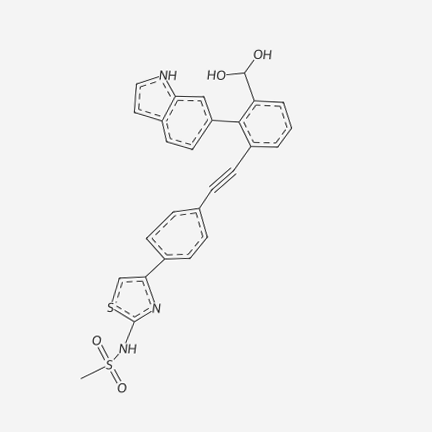 CS(=O)(=O)Nc1nc(-c2ccc(C#Cc3cccc(C(O)O)c3-c3ccc4cc[nH]c4c3)cc2)cs1